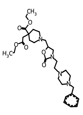 CCOC(=O)CC1(C(=O)OCC)CCN(CC2CN(CCN3CCN(Cc4ccccc4)CC3)C(=O)O2)CC1